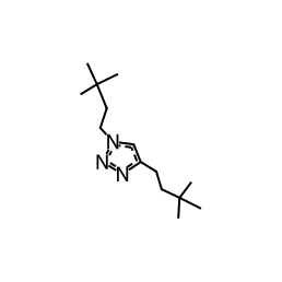 CC(C)(C)CCc1cn(CCC(C)(C)C)nn1